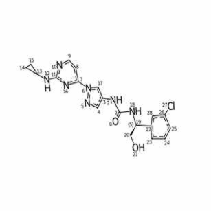 O=C(Nc1cnn(-c2ccnc(NC3CC3)n2)c1)N[C@H](CO)c1cccc(Cl)c1